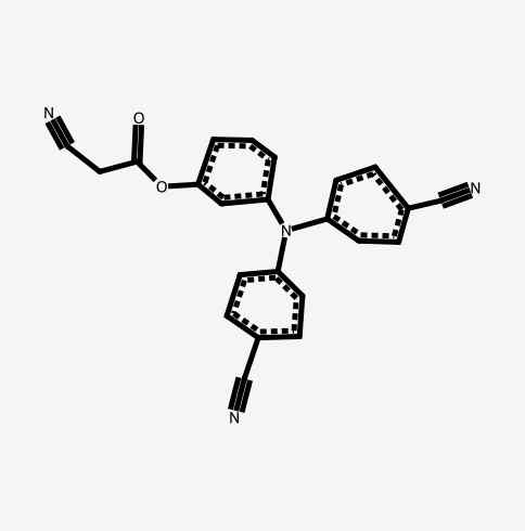 N#CCC(=O)Oc1cccc(N(c2ccc(C#N)cc2)c2ccc(C#N)cc2)c1